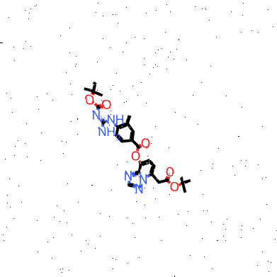 Cc1cc(C(=O)Oc2ccc(CC(=O)OC(C)(C)C)n3ncnc23)ccc1N/C(N)=N\C(=O)OC(C)(C)C